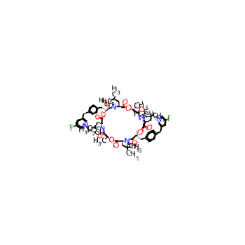 CC(C)C[C@H]1C(=O)O[C@H](Cc2ccc(Cc3cncc(F)c3)cc2)C(=O)N(C)[C@@H](CC(C)C)C(=O)O[C@H](C)C(=O)N(C)[C@@H](CC(C)C)C(=O)O[C@H](Cc2ccc(Cc3cncc(F)c3)cc2)C(=O)N(C)[C@@H](CC(C)C)C(=O)O[C@H](C)C(=O)N1C